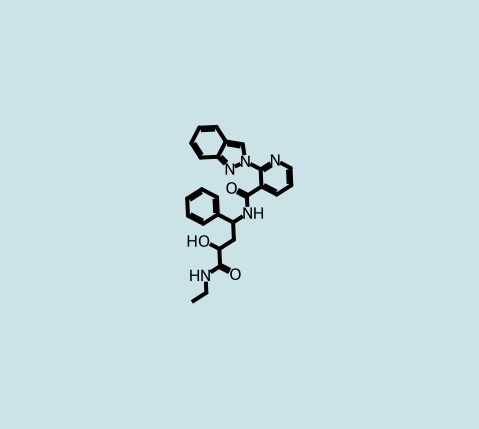 CCNC(=O)C(O)CC(NC(=O)c1cccnc1-n1cc2ccccc2n1)c1ccccc1